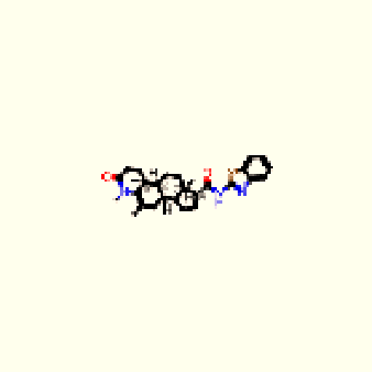 CC1=C2N(C)C(=O)CC[C@]2(C)[C@H]2CC[C@]3(C)[C@@H](C(=O)Nc4nc5ccccc5s4)CC[C@H]3[C@@H]2C1